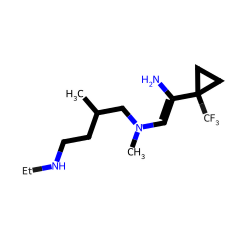 CCNCCC(C)CN(C)/C=C(\N)C1(C(F)(F)F)CC1